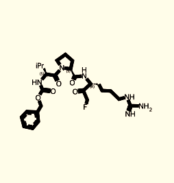 CC(C)[C@H](NC(=O)OCc1ccccc1)C(=O)N1CCC[C@H]1C(=O)N[C@H](CCCCNC(=N)N)C(=O)CF